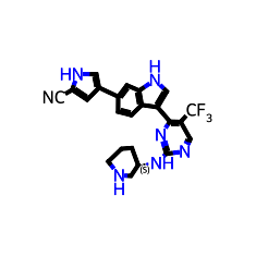 N#Cc1cc(-c2ccc3c(-c4nc(N[C@H]5CCCNC5)ncc4C(F)(F)F)c[nH]c3c2)c[nH]1